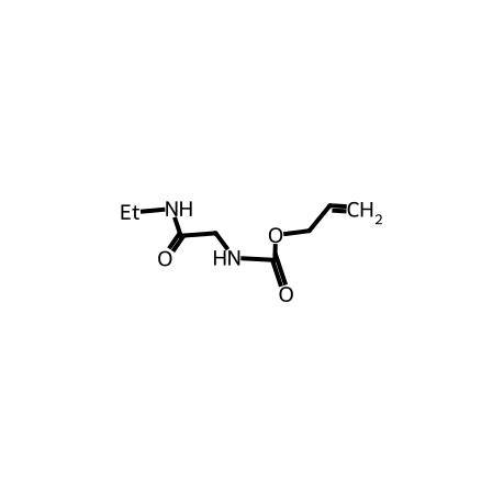 C=CCOC(=O)NCC(=O)NCC